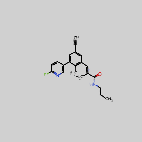 C#Cc1cc(/C=C(\C)C(=O)NCCC)c(C)c(-c2ccc(F)nc2)c1